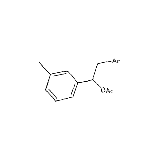 CC(=O)CC(OC(C)=O)c1cccc(C)c1